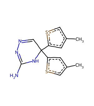 Cc1csc(C2(c3cc(C)cs3)C=NN=C(N)N2)c1